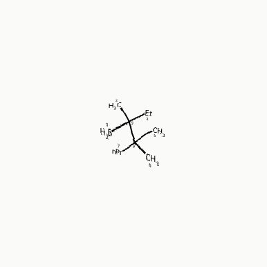 BC(C)(CC)C(C)(C)CCC